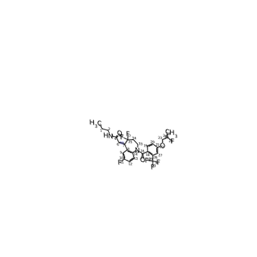 CCCNC(=O)/C=C1/c2cc(F)ccc2N(C(=O)c2ccc(OC[C@@H](C)F)cc2C(F)(F)F)CCC1(F)F